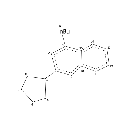 [CH2]CCCc1cc(C2CCCC2)cc2ccccc12